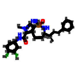 C[C@@H](CCc1ccccc1)[C@H]1C=Cc2c(cn(C)c2C(=O)Nc2ccc(F)c(F)c2)S(=N)(=O)N1